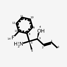 C/C=C/[C@H](O)[C@](C)(N)c1ccccc1F